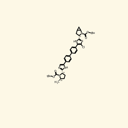 C[C@@H]1CC[C@@H](c2ncc(-c3ccc(-c4ccc(-c5[nH]c([C@@H]6CC7CC7N6C(=O)OC(C)(C)C)nc5Cl)cc4)cc3)[nH]2)N1C(=O)OC(C)(C)C